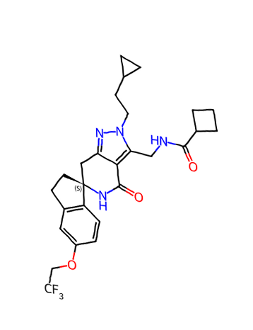 O=C1N[C@@]2(CCc3cc(OCC(F)(F)F)ccc32)Cc2nn(CCC3CC3)c(CNC(=O)C3CCC3)c21